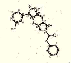 O=C(Cc1ccccc1)c1cc2cc3c(-c4ccnc(F)c4)n[nH]c3cc2[nH]1